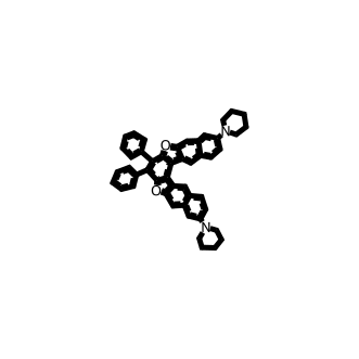 c1ccc(-c2c(-c3ccccc3)c3oc4cc5cc(N6CCCCC6)ccc5cc4c3c3c2oc2cc4cc(N5CCCCC5)ccc4cc23)cc1